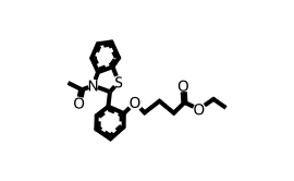 CCOC(=O)CCCOc1ccccc1C1Sc2ccccc2N1C(C)=O